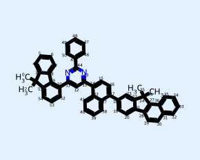 CC1(C)c2ccccc2-c2c(-c3cc(-c4ccc(-c5ccc6c(c5)C(C)(C)c5c-6ccc6ccccc56)c5ccccc45)nc(-c4ccccc4)n3)cccc21